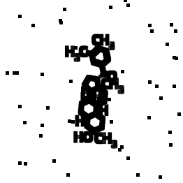 Cc1ccc(C(=O)[C@H]2CC[C@H]3[C@@H]4CC[C@H]5C[C@](C)(O)CC[C@@H]5[C@H]4CC[C@]23C)cc1C